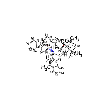 CC(C)c1cc2c(cc1-c1cc3c(cc1N(c1ccc(-c4ccccc4)cc1)c1ccccc1-c1ccccc1)C(C)(C)c1ccccc1-3)C(C)(C)CCC2(C)C